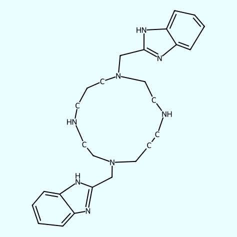 c1ccc2[nH]c(CN3CCCNCCN(Cc4nc5ccccc5[nH]4)CCCNCC3)nc2c1